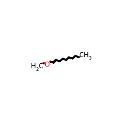 C=COCC=CCCCCCCCC